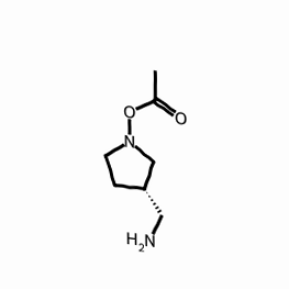 CC(=O)ON1CC[C@@H](CN)C1